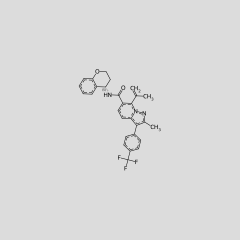 C=C(C)c1c(C(=O)N[C@H]2CCOc3ccccc32)ccc2c(-c3ccc(C(F)(F)F)cc3)c(C)nn12